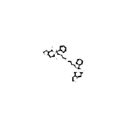 CC(CCCCSCCCCC(C)(c1ccccc1)N1C(=S)C=C2SCCC2C1=S)(c1ccccc1)N1C(=S)C=C2SCCC2C1=S